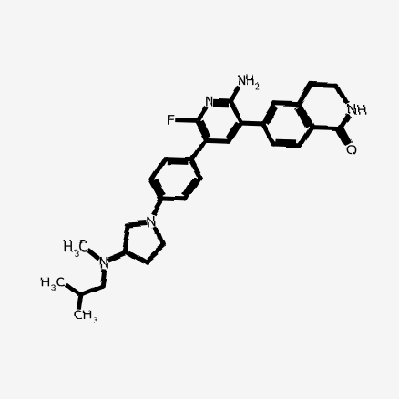 CC(C)CN(C)C1CCN(c2ccc(-c3cc(-c4ccc5c(c4)CCNC5=O)c(N)nc3F)cc2)C1